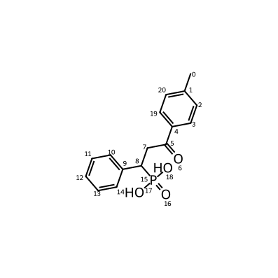 Cc1ccc(C(=O)CC(c2ccccc2)P(=O)(O)O)cc1